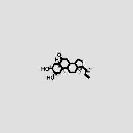 C=C[C@@H](C)[C@H]1CCC2C3CC(=O)[C@H]4C[C@H](O)[C@H](O)C[C@]4(C)C3CC[C@@]21C